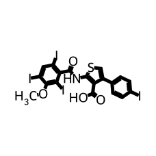 COc1c(I)cc(I)c(C(=O)Nc2scc(-c3ccc(I)cc3)c2C(=O)O)c1I